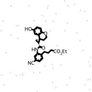 CCOC(=O)CCCc1ccc(C#N)cc1NC(=O)[C@@H]1C[C@]12CCOc1ccc(O)cc12